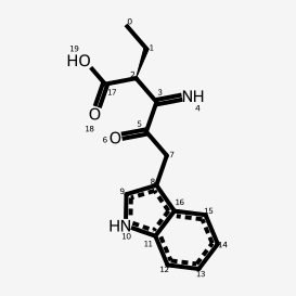 CC[C@@H](C(=N)C(=O)Cc1c[nH]c2ccccc12)C(=O)O